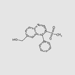 CS(=O)(=O)c1cnc2ccc(CO)cc2c1-c1ccccc1